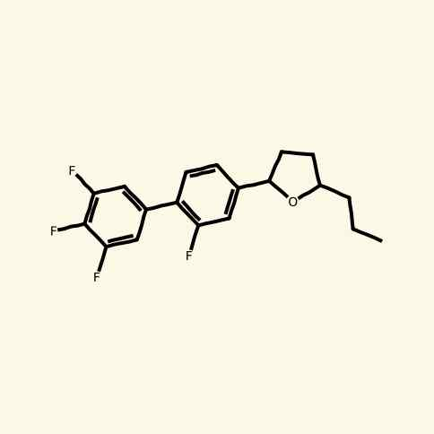 CCCC1CCC(c2ccc(-c3cc(F)c(F)c(F)c3)c(F)c2)O1